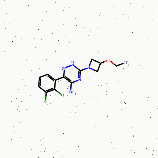 NC1=C(c2cccc(Cl)c2Cl)NNC(N2CC(OCC(F)(F)F)C2)=N1